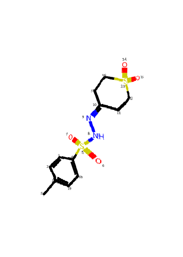 Cc1ccc(S(=O)(=O)NN=C2CCS(=O)(=O)CC2)cc1